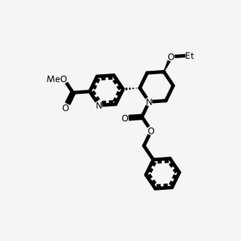 CCO[C@H]1CCN(C(=O)OCc2ccccc2)[C@H](c2ccc(C(=O)OC)nc2)C1